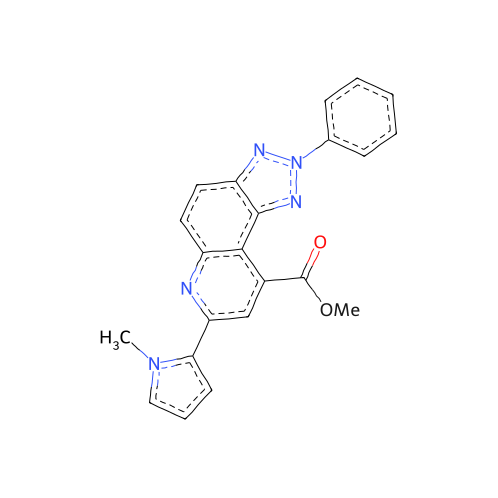 COC(=O)c1cc(-c2cccn2C)nc2ccc3nn(-c4ccccc4)nc3c12